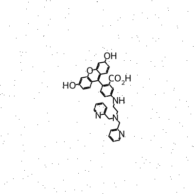 O=C(O)c1cc(NCCN(Cc2ccccn2)Cc2ccccn2)ccc1C1=C2C=CC(O)C=C2Oc2cc(O)ccc21